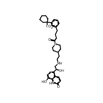 O=C(CCCc1cccc(C2(C(=O)O)CCCCC2)c1)N1CCC(CCNCC(O)c2ccc(O)c3[nH]c(=O)ccc23)CC1